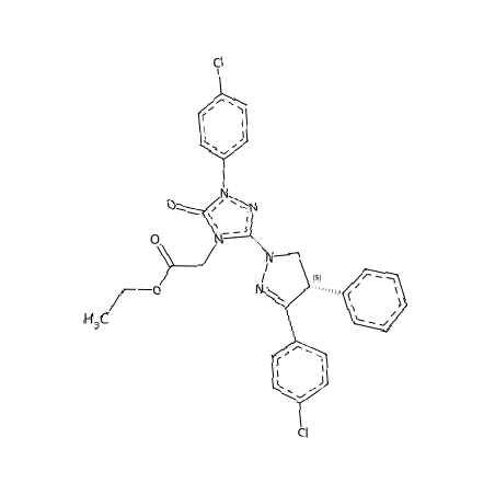 CCOC(=O)Cn1c(N2C[C@H](c3ccccc3)C(c3ccc(Cl)cc3)=N2)nn(-c2ccc(Cl)cc2)c1=O